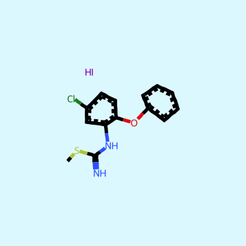 CSC(=N)Nc1cc(Cl)ccc1Oc1ccccc1.I